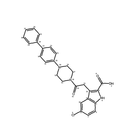 O=C(O)c1[nH]c2ccc(Cl)cc2c1CC(=O)N1CCN(c2ccc(-c3ccccc3)cc2)CC1